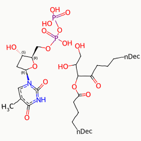 CCCCCCCCCCCCCC(=O)OC(C(=O)CCCCCCCCCCCCC)C(O)CO.Cc1cn([C@H]2C[C@H](O)[C@@H](COP(=O)(O)OP(=O)(O)O)O2)c(=O)[nH]c1=O